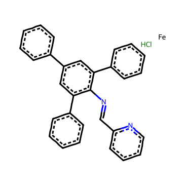 C(=N\c1c(-c2ccccc2)cc(-c2ccccc2)cc1-c1ccccc1)/c1ccccn1.Cl.[Fe]